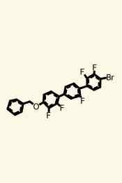 Fc1cc(-c2ccc(OCc3ccccc3)c(F)c2F)ccc1-c1ccc(Br)c(F)c1F